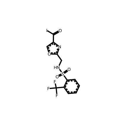 O=C(I)c1coc(CNS(=O)(=O)c2ccccc2C(F)(F)F)n1